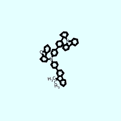 CC1(C)c2ccccc2-c2ccc(-c3ccc(N(c4ccc(-c5ccc(-c6ccccc6-n6c7ccccc7c7ccccc76)cc5)cc4)c4cccc5oc6ccccc6c45)cc3)cc21